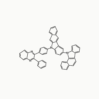 c1ccc(-c2nc3ccccc3nc2-c2ccc(-n3c4ccc(-n5c6ccccc6c6ccc7ccccc7c65)cc4c4cc5ccccc5cc43)cc2)cc1